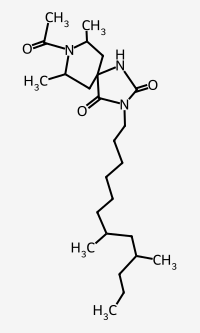 CCCC(C)CC(C)CCCCCCN1C(=O)NC2(CC(C)N(C(C)=O)C(C)C2)C1=O